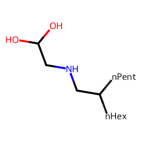 CCCCCCC(CCCCC)CNCC(O)O